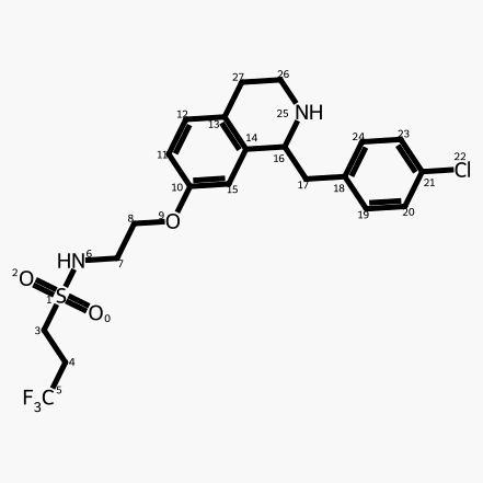 O=S(=O)(CCC(F)(F)F)NCCOc1ccc2c(c1)C(Cc1ccc(Cl)cc1)NCC2